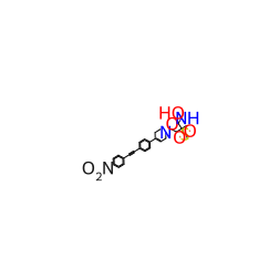 CC(CCN1CC=C(c2ccc(C#Cc3ccc([N+](=O)[O-])cc3)cc2)CC1)(C(=O)NO)S(C)(=O)=O